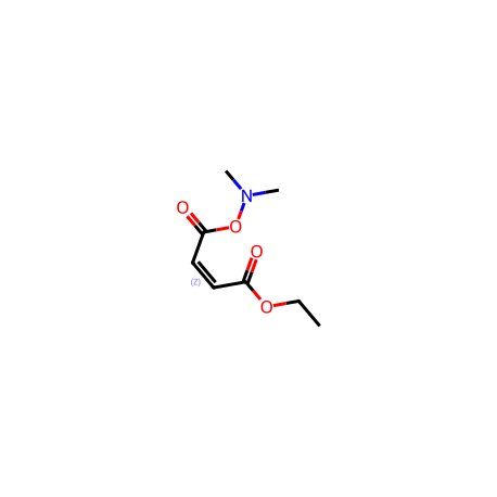 CCOC(=O)/C=C\C(=O)ON(C)C